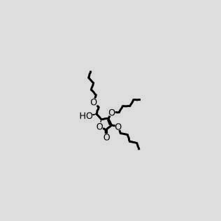 CCCCCOC[C@H](O)[C@H]1OC(=O)C(OCCCCC)=C1OCCCCC